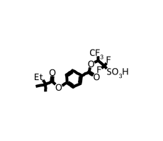 CCC(C)(C)C(=O)Oc1ccc(C(=O)OC(C(F)(F)F)C(F)(F)S(=O)(=O)O)cc1